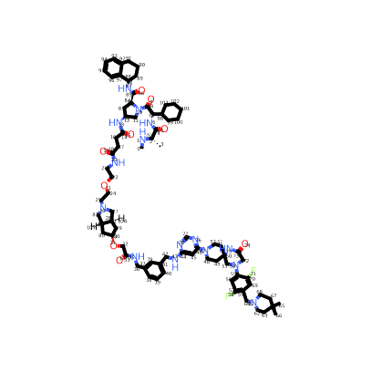 CN[C@@H](C)C(=O)N[C@H](C(=O)N1C[C@@H](NC(=O)CCC(=O)NCCOCCN2C[C@H]3C[C@@H](OCC(=O)NCc4cccc(CNc5cc(N6CCC7(CC6)CN(c6cc(F)c(CN8CCC(C)(C)CC8)cc6F)CC(=O)N7)ncn5)c4)C[C@H]3C2)C[C@H]1C(=O)N[C@H]1CCCc2ccccc21)C1CCCCC1